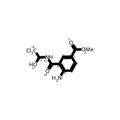 COC(=O)c1ccc(N)c(C(=O)NC(O)C(Cl)(Cl)Cl)c1